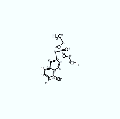 CCOP(=O)(Cc1ccc2c(Br)c(I)ccc2c1)OCC